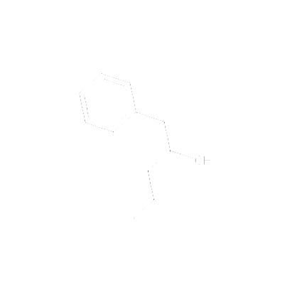 CC(CC=O)Cc1ccccc1